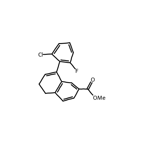 COC(=O)c1ccc2c(c1)C(c1c(F)cccc1Cl)=CCC2